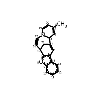 CC1=CC2C3=Cc4c(oc5ccccc45)C(C#CN2C=C1)C3